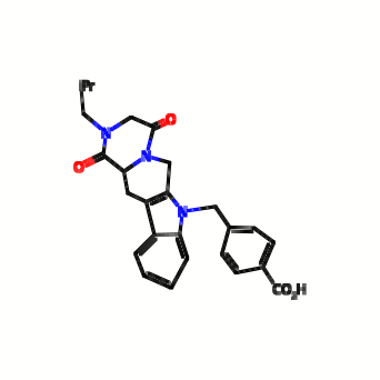 CC(C)CN1CC(=O)N2Cc3c(c4ccccc4n3Cc3ccc(C(=O)O)cc3)CC2C1=O